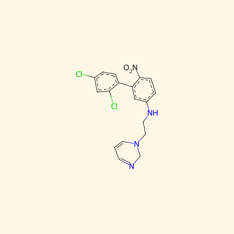 O=[N+]([O-])c1ccc(NCCN2C=CC=NC2)cc1-c1ccc(Cl)cc1Cl